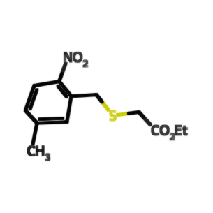 CCOC(=O)CSCc1cc(C)ccc1[N+](=O)[O-]